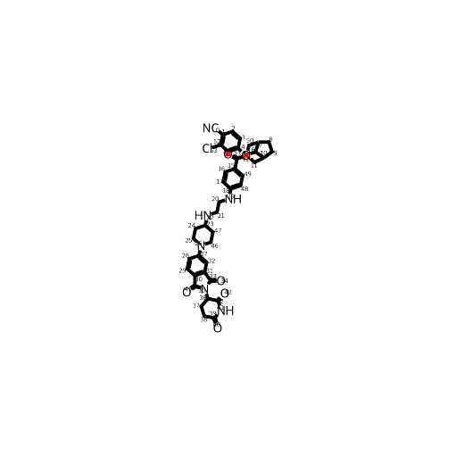 N#Cc1ccc(OC2C3CCC2CN(C(=O)c2ccc(NCCNC4CCN(c5ccc6c(c5)C(=O)N(C5CCC(=O)NC5=O)C6=O)CC4)cc2)C3)cc1Cl